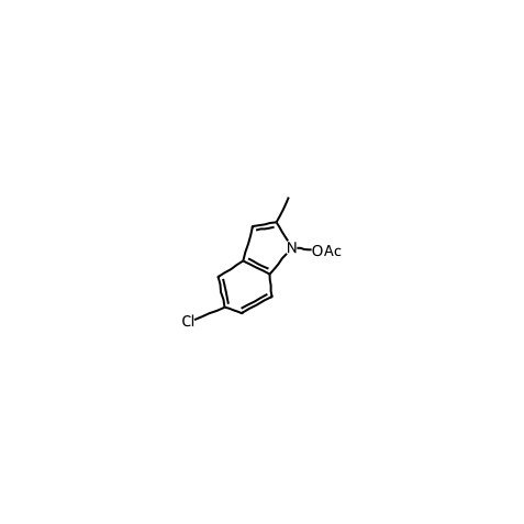 CC(=O)On1c(C)cc2cc(Cl)ccc21